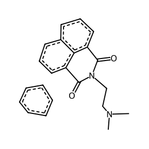 CN(C)CCN1C(=O)c2cccc3cccc(c23)C1=O.c1ccccc1